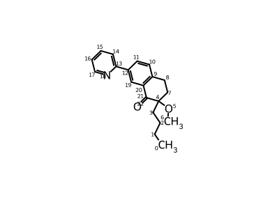 CCCCC1(OC)CCc2ccc(-c3ccccn3)cc2C1=O